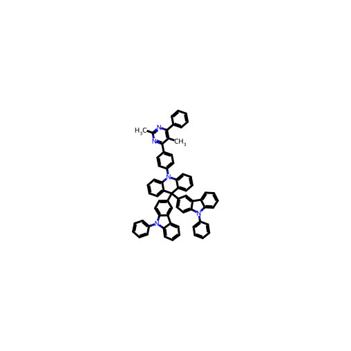 Cc1nc(-c2ccccc2)c(C)c(-c2ccc(N3c4ccccc4C(c4ccc5c(c4)c4ccccc4n5-c4ccccc4)(c4ccc5c(c4)c4ccccc4n5-c4ccccc4)c4ccccc43)cc2)n1